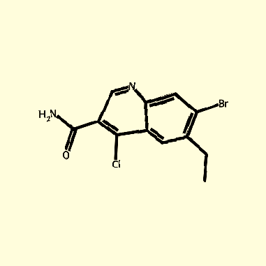 CCc1cc2c(Cl)c(C(N)=O)cnc2cc1Br